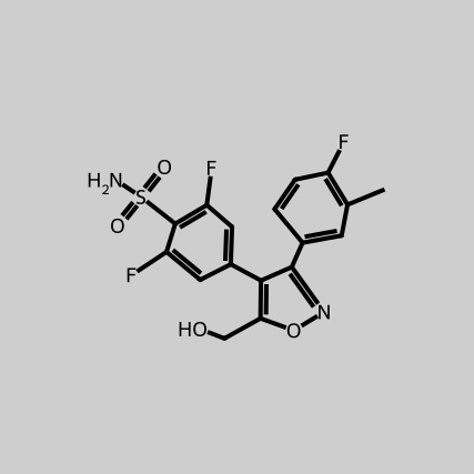 Cc1cc(-c2noc(CO)c2-c2cc(F)c(S(N)(=O)=O)c(F)c2)ccc1F